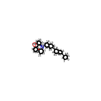 c1ccc(-c2ccc3cc(-c4ccc5ccc(N(c6ccccc6)c6cccc7oc8ccccc8c67)cc5c4)ccc3c2)cc1